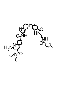 CCCN(CCC)C(=O)C1=Cc2ccc(C(=O)Nc3cnc4c(c3)CN(Cc3ccc(C(=O)NCCNC(=O)C5CCC(C)CC5)cc3)CC4)cc2N=C(N)C1